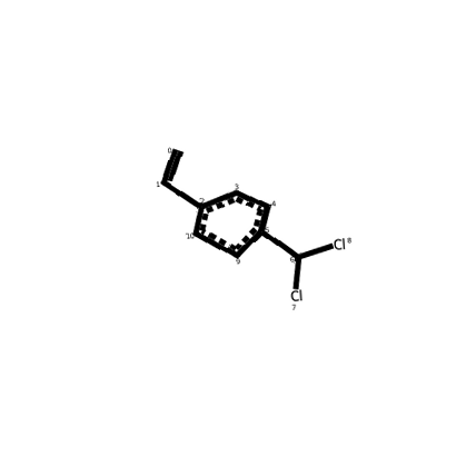 C=Cc1ccc(C(Cl)Cl)cc1